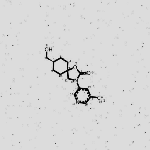 O=C1O[C@]2(CC[C@H](CO)CC2)CN1c1cncc(C(F)(F)F)c1